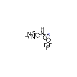 CC(C)N(C)c1nc2ccc(NC(=O)/C=C\c3ccc(C(F)(F)F)cc3)cc2s1